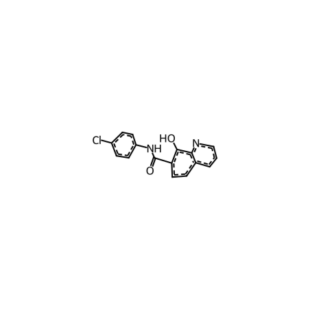 O=C(Nc1ccc(Cl)cc1)c1ccc2cccnc2c1O